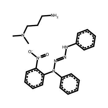 CN(C)CCCN.O=[N+]([O-])c1ccccc1N(N=NNc1ccccc1)c1ccccc1